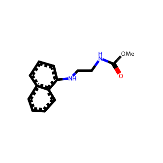 COC(=O)NCCNc1cccc2ccccc12